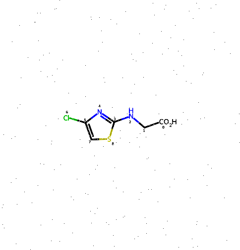 O=C(O)CNc1nc(Cl)cs1